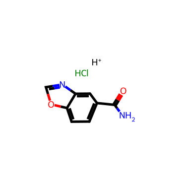 Cl.NC(=O)c1ccc2ocnc2c1.[H+]